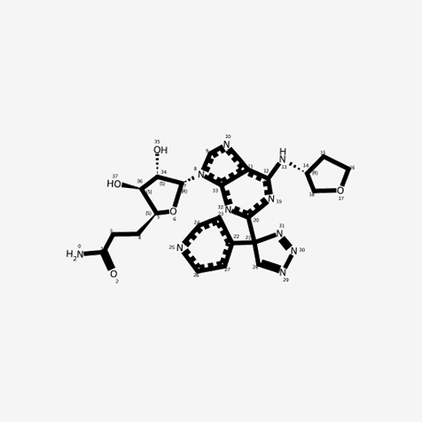 NC(=O)CC[C@@H]1O[C@@H](n2cnc3c(N[C@@H]4CCOC4)nc(C4(c5ccncc5)C=NN=N4)nc32)[C@@H](O)[C@@H]1O